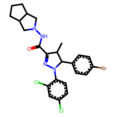 CC1C(C(=O)NN2CC3CCCC3C2)=NN(c2ccc(Cl)cc2Cl)C1c1ccc(Br)cc1